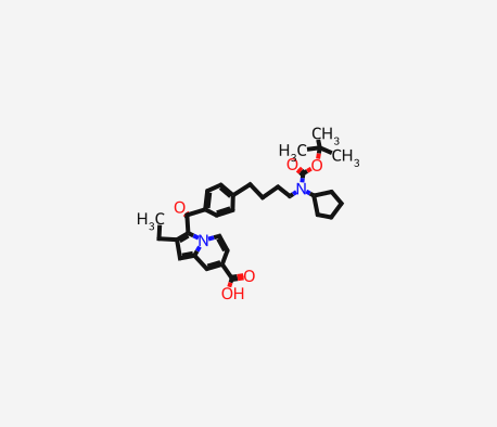 CCc1cc2cc(C(=O)O)ccn2c1C(=O)c1ccc(CCCCN(C(=O)OC(C)(C)C)C2CCCC2)cc1